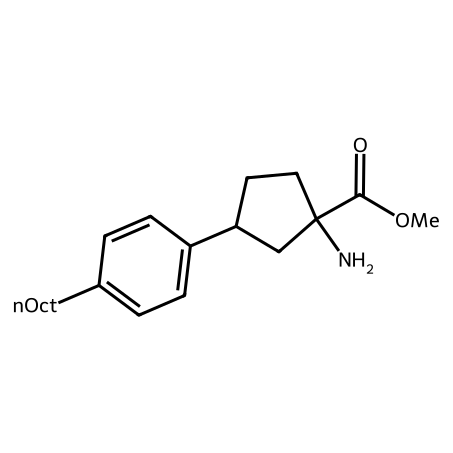 CCCCCCCCc1ccc(C2CCC(N)(C(=O)OC)C2)cc1